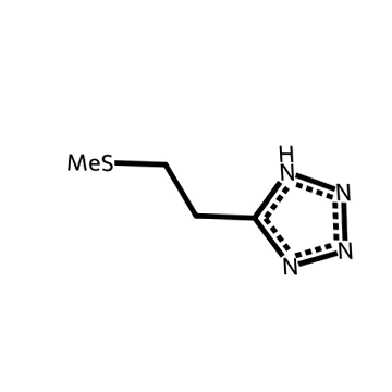 CSCCc1nnn[nH]1